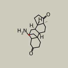 C[C@]12CC[C@H]3[C@@H](CCC4CC(=O)CCC43CCN)[C@@H]1CCC2=O